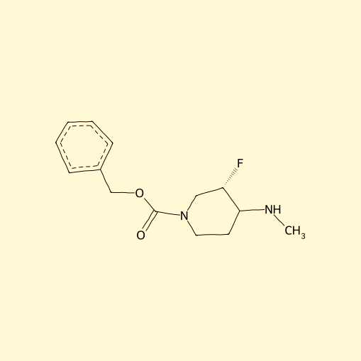 CNC1CCN(C(=O)OCc2ccccc2)C[C@@H]1F